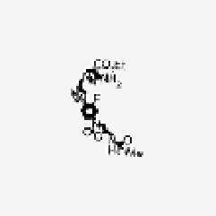 CCOC(=O)c1cn(Cc2cn(-c3ccc(N4CC(CNC(=O)OC)OC4=O)cc3F)nn2)nc1N